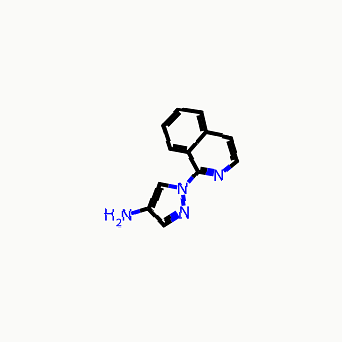 Nc1cnn(-c2nccc3ccccc23)c1